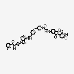 Cc1cccc(C(=O)NC2CC(n3cnc4c(NCCC5CCN(CC6CCN(C(=O)CCNc7ccc8c(c7)C(=O)N([C@H]7CCC(=O)NC7=O)C8=O)CC6)CC5)ncnc43)C2)n1